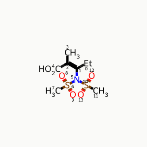 CCC(=C(C)C(=O)O)N(S(C)(=O)=O)S(C)(=O)=O